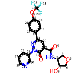 O=C(N[C@@H]1COC[C@@H]1O)c1cc(-c2ccc(OC(F)(F)F)cc2)nn(-c2cccnc2)c1=O